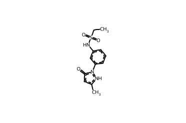 CCS(=O)(=O)Nc1cccc(-n2[nH]c(C)cc2=O)c1